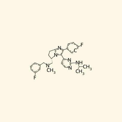 CC(C)Nc1nccc(-c2c(-c3ccc(F)cc3)nc3n2[C@H](CN(C)Cc2cccc(F)c2)CC3)n1